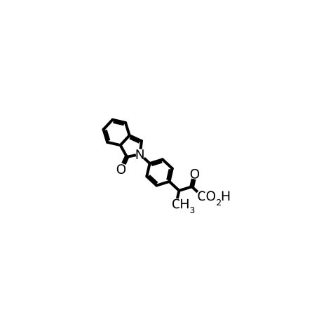 CC(C(=O)C(=O)O)c1ccc(N2C=C3C=CC=CC3C2=O)cc1